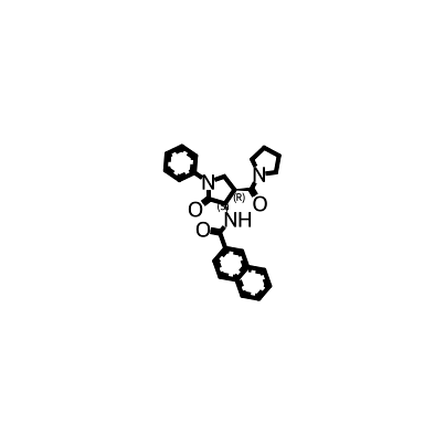 O=C(N[C@@H]1C(=O)N(c2ccccc2)C[C@H]1C(=O)N1CCCC1)c1ccc2ccccc2c1